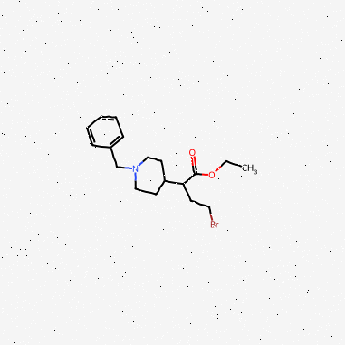 CCOC(=O)C(CCBr)C1CCN(Cc2ccccc2)CC1